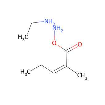 CCC=C(C)C(=O)ON.CCN